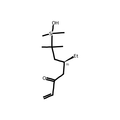 C=CC(=O)C[C@H](CC)CC(C)(C)[Si](C)(C)O